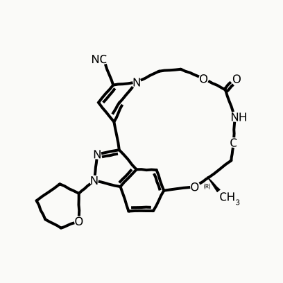 C[C@@H]1CCNC(=O)OCCn2cc(cc2C#N)-c2nn(C3CCCCO3)c3ccc(cc23)O1